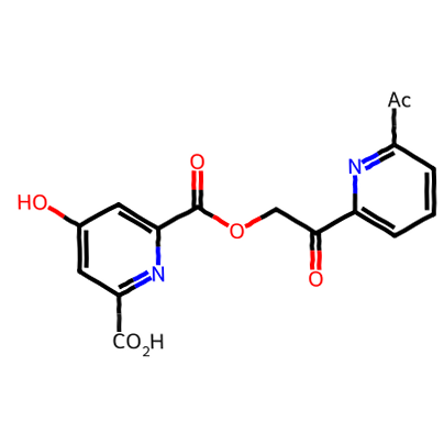 CC(=O)c1cccc(C(=O)COC(=O)c2cc(O)cc(C(=O)O)n2)n1